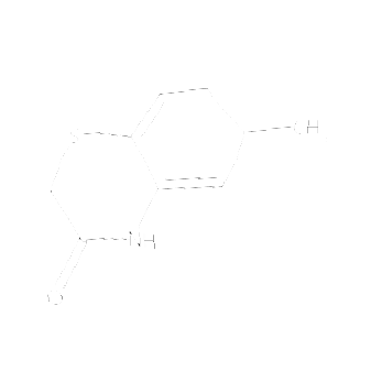 CC1C=C2NC(=O)CSC2=CC1